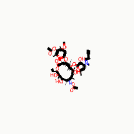 C#CCCN(C)[C@H]1C[C@@H](C)O[C@@H](O[C@@H]2[C@@H](C)[C@H](OC3C[C@@](C)(OC)[C@@H](OC(C)=O)[C@H](C)O3)[C@@H](C)C(=O)O[C@H](CC)[C@@](C)(O)[C@H](O)[C@@H](C)/C(=N/OC(C)=O)[C@H](C)C[C@@]2(C)O)[C@@H]1O